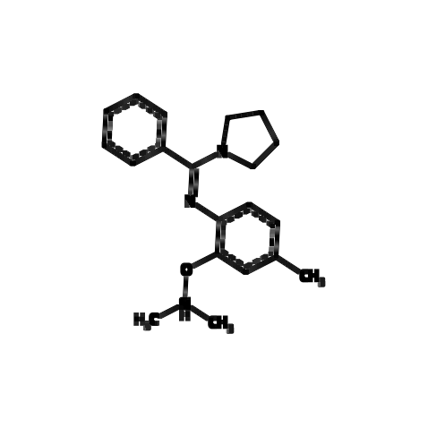 Cc1ccc(N=C(c2ccccc2)N2CCCC2)c(O[SiH](C)C)c1